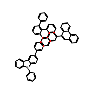 c1ccc(-c2ccccc2-c2c(-c3ccccc3)cccc2N(c2ccc(-c3ccc4c(c3)c3ccccc3n4-c3ccccc3)cc2)c2ccc(-c3cc4ccccc4c4ccccc34)cc2)cc1